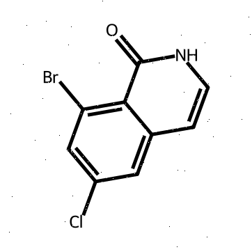 O=c1[nH]ccc2cc(Cl)cc(Br)c12